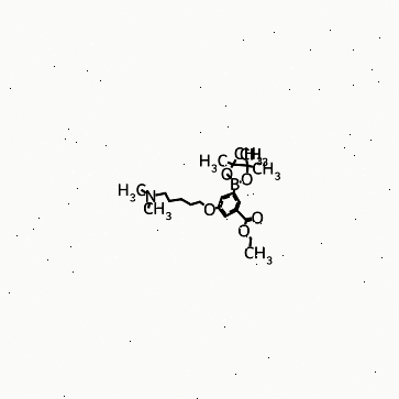 CCOC(=O)c1cc(OCCCCCN(C)C)cc(B2OC(C)(C)C(C)(C)O2)c1